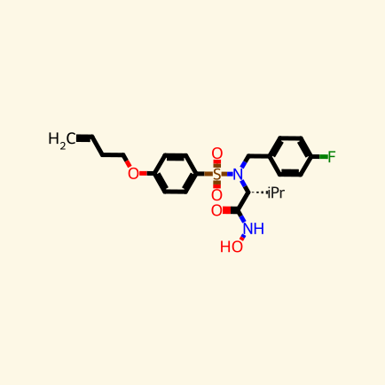 C=CCCOc1ccc(S(=O)(=O)N(Cc2ccc(F)cc2)[C@@H](C(=O)NO)C(C)C)cc1